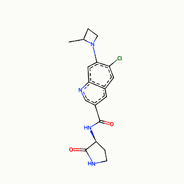 CC1CCN1c1cc2ncc(C(=O)N[C@H]3CCNC3=O)cc2cc1Cl